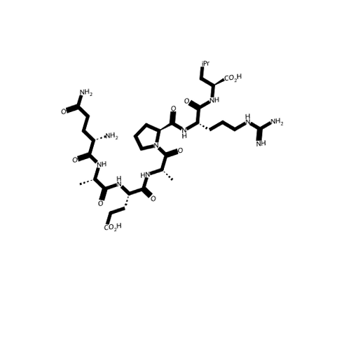 CC(C)C[C@H](NC(=O)[C@H](CCCNC(=N)N)NC(=O)[C@@H]1CCCN1C(=O)[C@H](C)NC(=O)[C@H](CCC(=O)O)NC(=O)[C@H](C)NC(=O)[C@@H](N)CCC(N)=O)C(=O)O